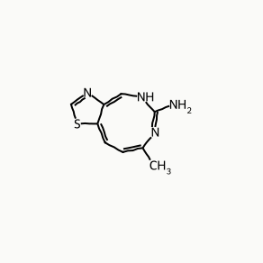 Cc1ccc2scnc2c[nH]c(N)n1